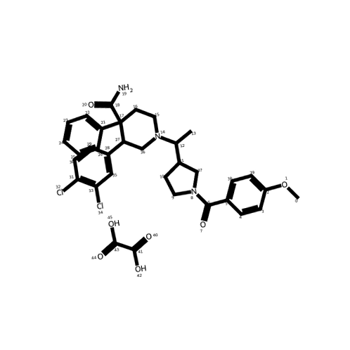 COc1ccc(C(=O)N2CCC(C(C)N3CCC(C(N)=O)(c4ccccc4)C(c4ccc(Cl)c(Cl)c4)C3)C2)cc1.O=C(O)C(=O)O